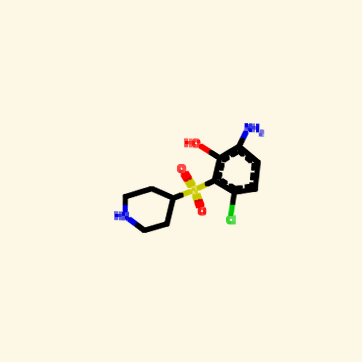 Nc1ccc(Cl)c(S(=O)(=O)C2CCNCC2)c1O